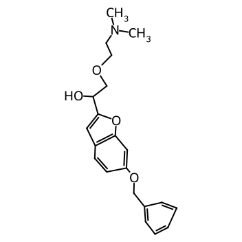 CN(C)CCOCC(O)c1cc2ccc(OCc3ccccc3)cc2o1